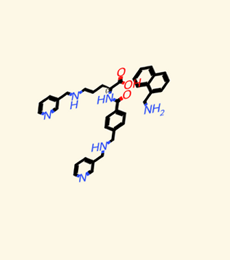 NCc1cccc2ccccc12.O=C(N[C@@H](CCCNCc1cccnc1)C(=O)O)c1ccc(CNCc2cccnc2)cc1